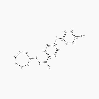 CC(=CCN1CCCCCC1)c1ccc(Oc2ccc(F)cc2)cc1